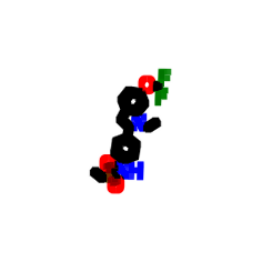 CCN1c2cc(OC(F)F)ccc2CC1c1ccc(NS(=O)(=O)CC)cc1